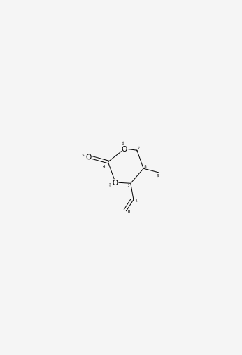 C=CC1OC(=O)OCC1C